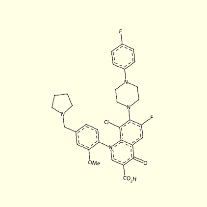 COc1cc(CN2CCCC2)ccc1-n1cc(C(=O)O)c(=O)c2cc(F)c(N3CCN(c4ccc(F)cc4)CC3)c(Cl)c21